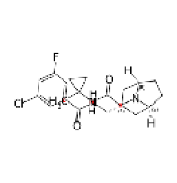 CC1(NC(=O)CN2[C@@H]3CC[C@H]2C[C@H](CNC(=O)c2cc(F)cc(Cl)c2)C3)CC1